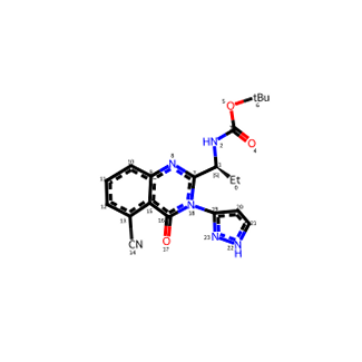 CC[C@H](NC(=O)OC(C)(C)C)c1nc2cccc(C#N)c2c(=O)n1-c1cc[nH]n1